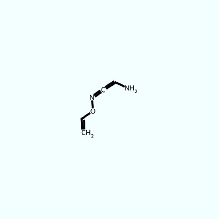 C=CON=C=CN